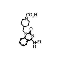 CCNc1nc(=O)n(CC2CCN(C(=O)O)CC2)c2ccccc12